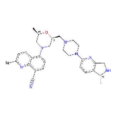 [2H]c1ccc2c(N3C[C@H](CN4CCN(c5ccc6c(n5)CN[C@@H]6C)CC4)O[C@H](C)C3)ccc(C#N)c2n1